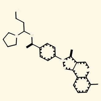 CCCC(NC(=O)c1ccc(-n2nc3c4cccc(F)c4scc-3c2=O)cc1)N1CCCC1